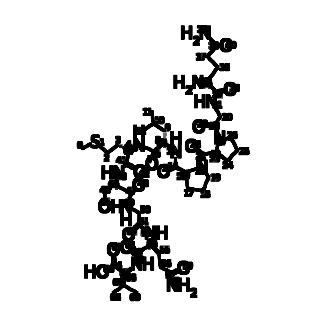 CSCC[C@H](NC(=O)[C@H](CC(C)C)NC(=O)[C@@H]1CCCN1C(=O)[C@@H]1CCCN1C(=O)CNC(=O)[C@@H](N)CCC(N)=O)C(=O)N[C@@H](CO)C(=O)NCC(=O)N[C@@H](CCC(N)=O)C(=O)N[C@H](C(=O)O)C(C)C